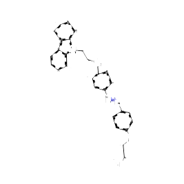 BrCCOc1ccc(/N=N/c2ccc(OCCn3c4ccccc4c4ccccc43)cc2)cc1